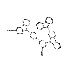 N#Cc1cc(-c2ccc(-n3c4ccccc4c4cc(C#N)ccc43)cc2)cc(-n2c3ccccc3c3ccc(-n4c5ccccc5c5ccccc54)cc32)c1